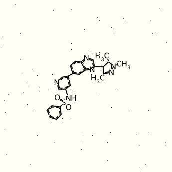 CC1=NN(C)C(C)C1c1cnc2ccc(-c3cncc(NS(=O)(=O)c4ccccc4)c3)cc2n1